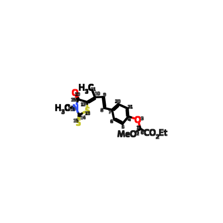 CCOC(=O)C(OC)Oc1ccc(C=CC(C)=C2SC(=S)N(C)C2=O)cc1